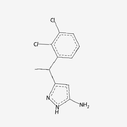 CC(c1cc(N)[nH]n1)c1cccc(Cl)c1Cl